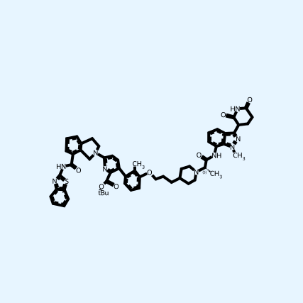 Cc1c(OCCCC2CCN([C@@H](C)C(=O)Nc3cccc4c(C5CCC(=O)NC5=O)nn(C)c34)CC2)cccc1-c1ccc(N2CCc3cccc(C(=O)Nc4nc5ccccc5s4)c3C2)nc1C(=O)OC(C)(C)C